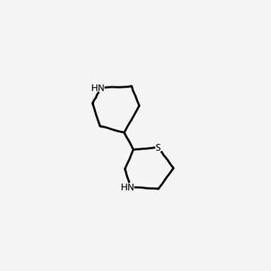 C1CC(C2CNCCS2)CCN1